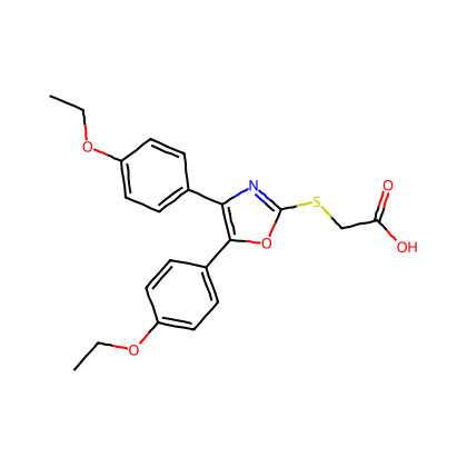 CCOc1ccc(-c2nc(SCC(=O)O)oc2-c2ccc(OCC)cc2)cc1